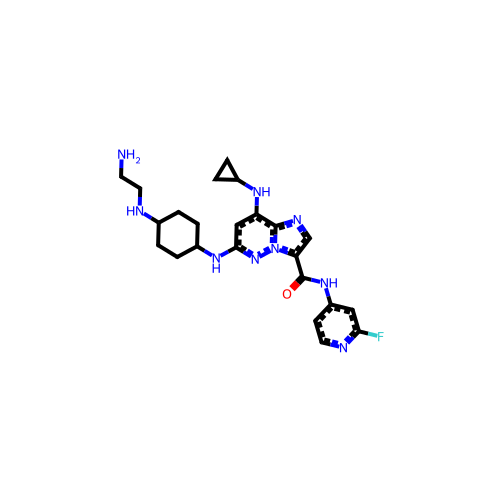 NCCNC1CCC(Nc2cc(NC3CC3)c3ncc(C(=O)Nc4ccnc(F)c4)n3n2)CC1